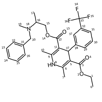 CCOC(=O)C1=C(C)NC(C)=C(C(=O)OCC(C)N(C)Cc2ccccc2)C1c1cccc(C(F)(F)F)c1